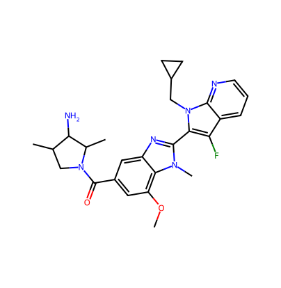 COc1cc(C(=O)N2CC(C)C(N)C2C)cc2nc(-c3c(F)c4cccnc4n3CC3CC3)n(C)c12